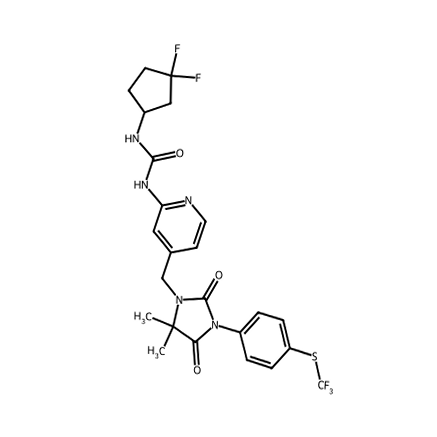 CC1(C)C(=O)N(c2ccc(SC(F)(F)F)cc2)C(=O)N1Cc1ccnc(NC(=O)NC2CCC(F)(F)C2)c1